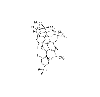 CC(C)c1nc2c(c3c1[C@@H](c1ccc(C(F)(F)F)cc1F)OC31CCOCC1I)C(O[Si](C)(C)C(C)(C)C)CC(C)(C)C2